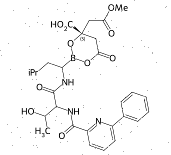 COC(=O)C[C@]1(C(=O)O)CC(=O)OB(C(CC(C)C)NC(=O)C(NC(=O)c2cccc(-c3ccccc3)n2)C(C)O)O1